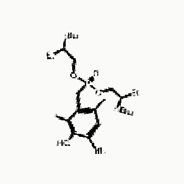 CCCCC(CC)COP(=O)(Cc1c(C)cc(C(C)(C)C)c(O)c1C)OCC(CC)CCCC